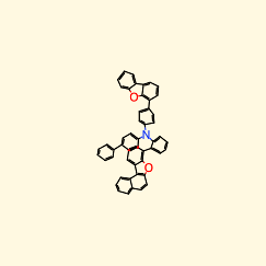 c1ccc(-c2ccc(N(c3ccc(-c4cccc5c4oc4ccccc45)cc3)c3ccccc3-c3cccc4c3oc3ccc5ccccc5c34)cc2)cc1